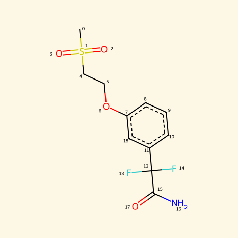 CS(=O)(=O)CCOc1cccc(C(F)(F)C(N)=O)c1